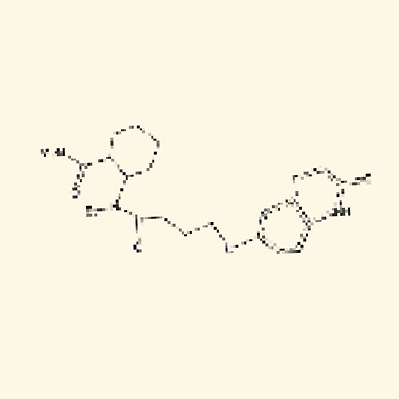 CCN(C(=O)CCCOc1ccc2[nH]c(=O)ccc2c1)C1CCCCC1C(=O)NC